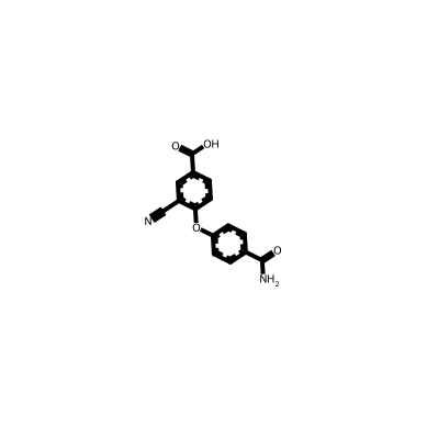 N#Cc1cc(C(=O)O)ccc1Oc1ccc(C(N)=O)cc1